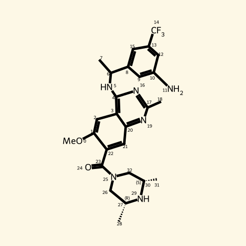 COc1cc2c(NC(C)c3cc(N)cc(C(F)(F)F)c3)nc(C)nc2cc1C(=O)N1C[C@@H](C)N[C@@H](C)C1